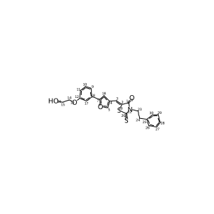 O=C1/C(=C/c2coc(-c3cccc(OCCO)c3)c2)SC(=S)N1CCc1ccccc1